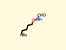 CCCCCCCCONC=O